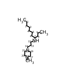 CCCCCCCC(CCC)NCCCN1CCN(C)CC1